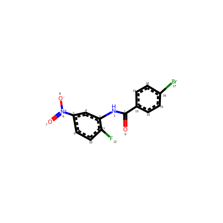 O=C(Nc1cc([N+](=O)[O-])ccc1F)c1ccc(Br)cc1